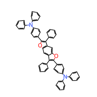 c1ccc(-c2c(-c3ccc(N(c4ccccc4)c4ccccc4)cc3)oc3cc4c(-c5ccccc5)c(-c5ccc(N(c6ccccc6)c6ccccc6)cc5)oc4cc23)cc1